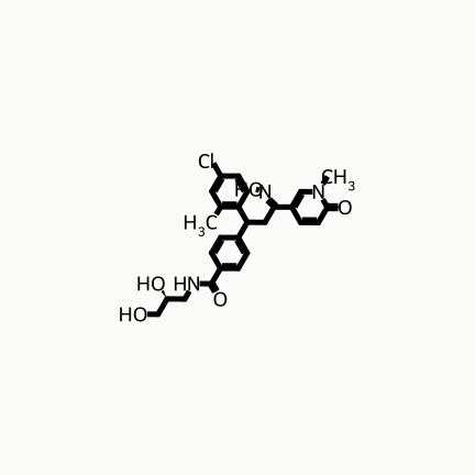 Cc1cc(Cl)ccc1C(C/C(=N\O)c1ccc(=O)n(C)c1)c1ccc(C(=O)NC[C@@H](O)CO)cc1